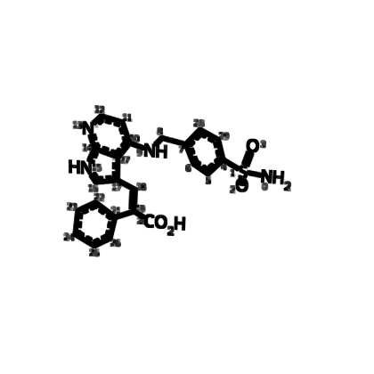 NS(=O)(=O)c1ccc(CNc2ccnc3[nH]cc(/C=C(/C(=O)O)c4ccccc4)c23)cc1